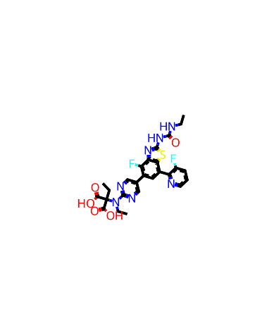 CCNC(=O)Nc1nc2c(F)c(-c3cnc(N(CC)C(CC)(C(=O)O)C(=O)O)nc3)cc(-c3ncccc3F)c2s1